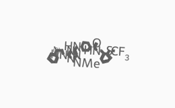 CNc1nc(NC[C@H](C)c2ccccc2)nc(N[C@H]2CC[C@@H](C(=O)NCc3ccccc3SC(F)(F)F)CC2)n1